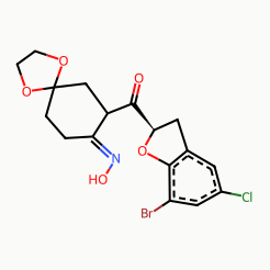 O=C(C1CC2(CCC1=NO)OCCO2)[C@H]1Cc2cc(Cl)cc(Br)c2O1